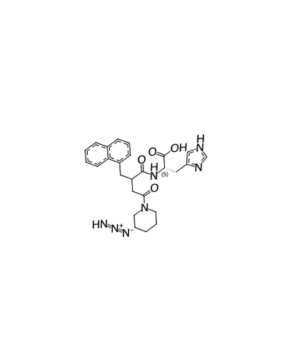 O=C(N[C@@H](Cc1c[nH]cn1)C(=O)O)C(CC(=O)N1CCCCC1)Cc1cccc2ccccc12.[N-]=[N+]=N